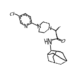 CC(C(=O)NC1C2CC3CC(C2)CC1C3)N1CCN(c2ccc(Cl)cn2)CC1